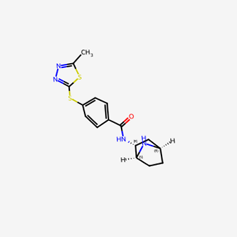 Cc1nnc(Sc2ccc(C(=O)N[C@@H]3C[C@H]4CC[C@@H]3N4)cc2)s1